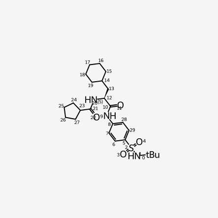 CC(C)(C)NS(=O)(=O)c1ccc(NC(=O)[C@H](CC2CCCCC2)NC(=O)C2CCCC2)cc1